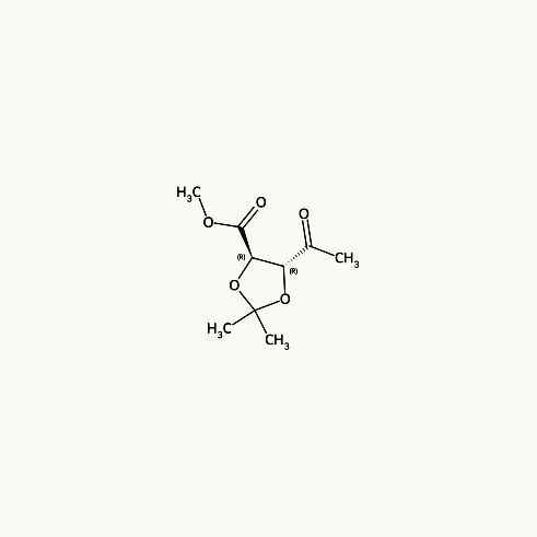 COC(=O)[C@@H]1OC(C)(C)O[C@H]1C(C)=O